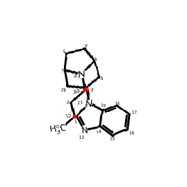 CCCCN1C2CCC1CC(n1cnc3ccccc31)C2